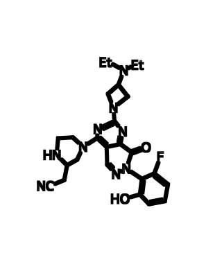 CCN(CC)C1CN(c2nc(N3CCNC(CC#N)C3)c3cnn(-c4c(O)cccc4F)c(=O)c3n2)C1